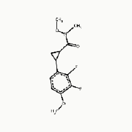 COc1ccc(C2CC2C(=O)N(C)OC)c(F)c1F